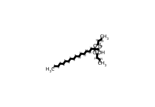 CCCCCCCCCCCCCCCCC(OCCCC)(OCCCC)C(=O)O